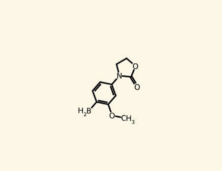 Bc1ccc(N2CCOC2=O)cc1OC